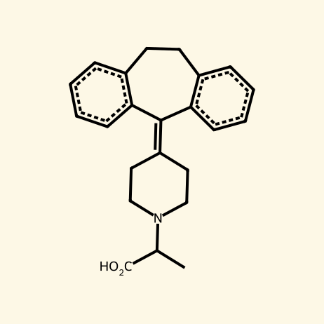 CC(C(=O)O)N1CCC(=C2c3ccccc3CCc3ccccc32)CC1